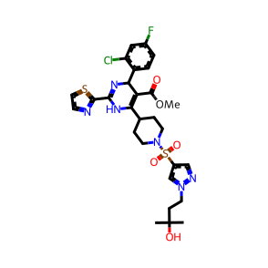 COC(=O)C1=C(C2CCN(S(=O)(=O)c3cnn(CCC(C)(C)O)c3)CC2)NC(c2nccs2)=NC1c1ccc(F)cc1Cl